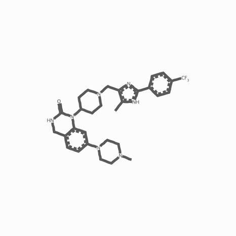 Cc1[nH]c(-c2ccc(C(F)(F)F)cc2)nc1CN1CCC(N2C(=O)NCc3ccc(N4CCN(C)CC4)cc32)CC1